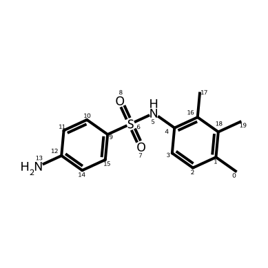 Cc1ccc(NS(=O)(=O)c2ccc(N)cc2)c(C)c1C